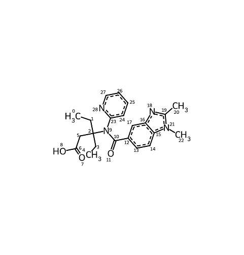 CCC(CC)(CC(=O)O)N(C(=O)c1ccc2c(c1)nc(C)n2C)c1ccccn1